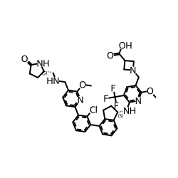 COc1nc(-c2cccc(-c3cccc4c3CC[C@@H]4Nc3nc(OC)c(CN4CC(C(=O)O)C4)cc3C(F)(F)F)c2Cl)ccc1CNC[C@@H]1CCC(=O)N1